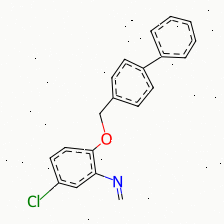 C=Nc1cc(Cl)ccc1OCc1ccc(-c2ccccc2)cc1